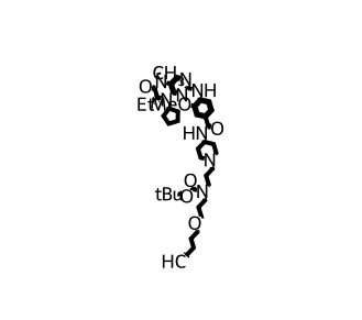 C#CCCCOCCCN(CCCN1CCC(NC(=O)c2ccc(Nc3ncc4c(n3)N(C3CCCC3)[C@H](CC)C(=O)N4C)c(OC)c2)CC1)C(=O)OC(C)(C)C